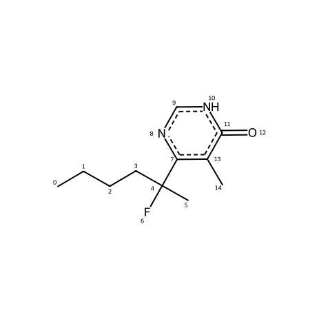 CCCCC(C)(F)c1nc[nH]c(=O)c1C